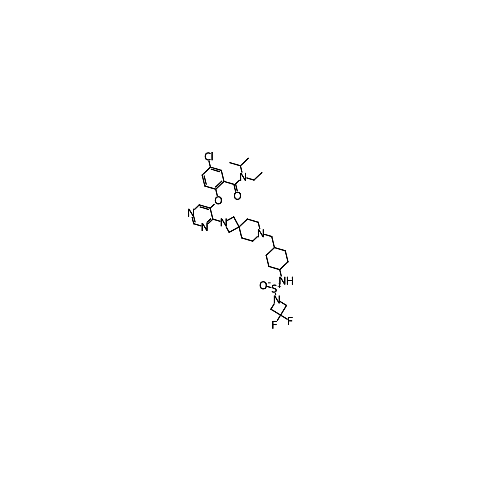 CCN(C(=O)c1cc(Cl)ccc1Oc1cncnc1N1CC2(CCN(CC3CCC(N[S+]([O-])N4CC(F)(F)C4)CC3)CC2)C1)C(C)C